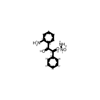 NN=O.Nc1ccccc1C(=O)C(=O)c1ccccc1